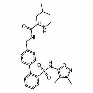 CN[C@@H](CC(C)C)C(=O)NCc1ccc(-c2ccccc2S(=O)(=O)Nc2onc(C)c2C)cc1